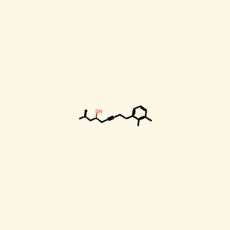 C=C(C)C[C@@H](O)CC#CCCc1cccc(C)c1C